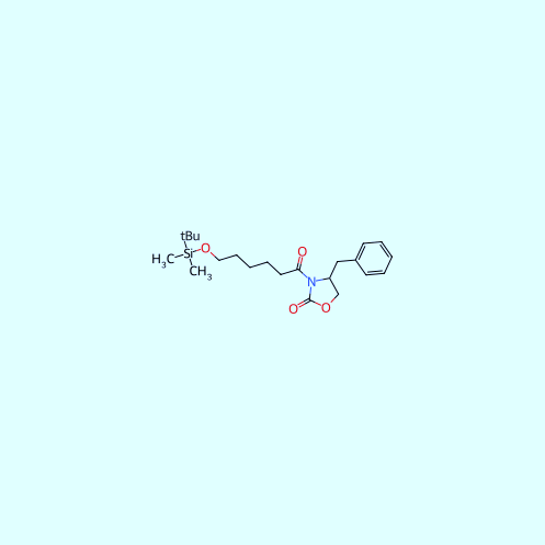 CC(C)(C)[Si](C)(C)OCCCCCC(=O)N1C(=O)OCC1Cc1ccccc1